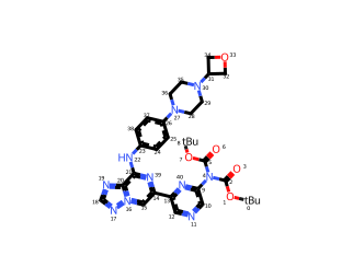 CC(C)(C)OC(=O)N(C(=O)OC(C)(C)C)c1cncc(-c2cn3ncnc3c(Nc3ccc(N4CCN(C5COC5)CC4)cc3)n2)n1